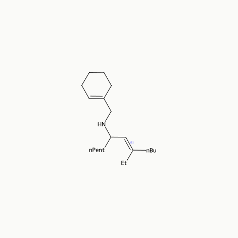 CCCCCC(/C=C(\CC)CCCC)NCC1=CCCCC1